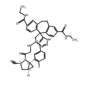 CCNC(=O)c1ccc2c(c1)CCc1cc(C(=O)NCC)ccc1C2(C[C@@H](Cc1ccc(F)cc1)NCC(=O)N1[C@H](C#N)C[C@@H]2C[C@@H]21)c1nnn[nH]1